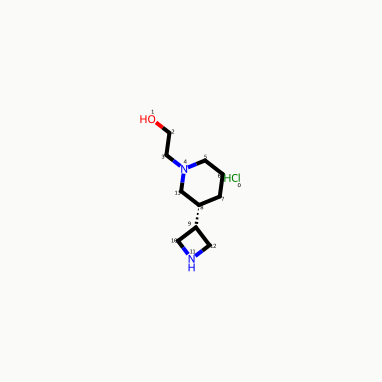 Cl.OCCN1CCC[C@H](C2CNC2)C1